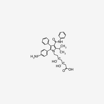 CC(C)c1c(C(=O)Nc2ccccc2)c(-c2ccccc2)c(-c2ccc(F)cc2)n1CC[C@@H](O)C[C@@H](O)CC(=O)O.N